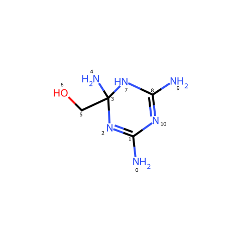 NC1=NC(N)(CO)NC(N)=N1